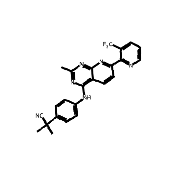 Cc1nc(Nc2ccc(C(C)(C)C#N)cc2)c2ccc(-c3ncccc3C(F)(F)F)nc2n1